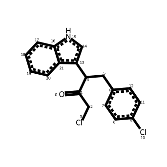 O=C(CCl)C(Cc1ccc(Cl)cc1)c1c[nH]c2ccccc12